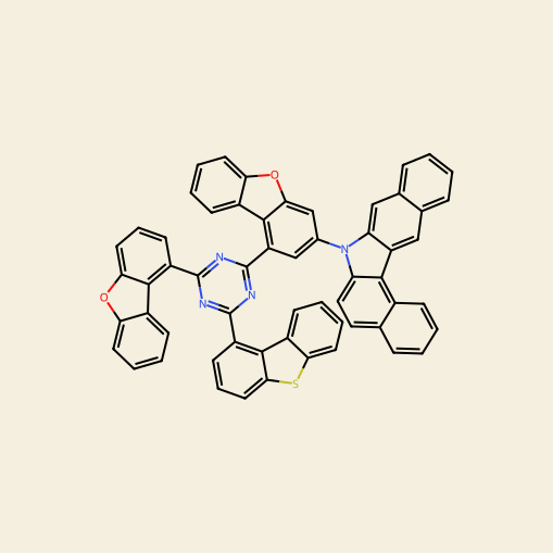 c1ccc2cc3c(cc2c1)c1c2ccccc2ccc1n3-c1cc(-c2nc(-c3cccc4oc5ccccc5c34)nc(-c3cccc4sc5ccccc5c34)n2)c2c(c1)oc1ccccc12